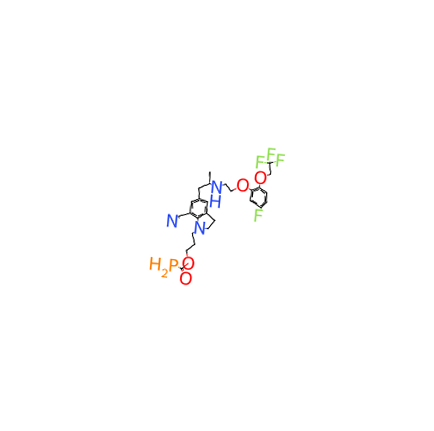 C[C@H](Cc1cc(C#N)c2c(c1)CCN2CCCOC(=O)P)NCCOc1cc(F)ccc1OCC(F)(F)F